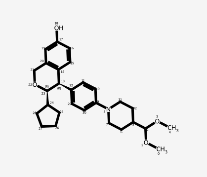 COC(OC)C1CCN(c2ccc([C@@H]3c4ccc(O)cc4CO[C@@H]3C3CCCC3)cc2)CC1